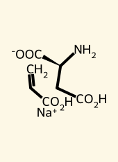 C=CC(=O)O.N[C@@H](CC(=O)O)C(=O)[O-].[Na+]